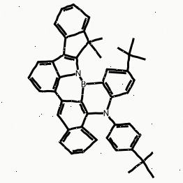 CC(C)(C)c1ccc(N2c3ccc(C(C)(C)C)cc3B3c4c(cc5ccccc5c42)-c2cccc4c5c(n3c24)C(C)(C)c2ccccc2-5)cc1